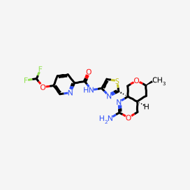 C[C@H]1C[C@H]2COC(N)=N[C@@]2(c2nc(NC(=O)c3ccc(OC(F)F)cn3)cs2)CO1